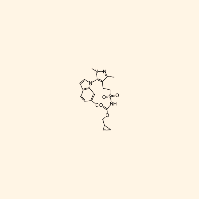 Cc1nn(C)c(-n2ccc3ccc(Cl)cc32)c1CCS(=O)(=O)NC(=O)OCC1CC1